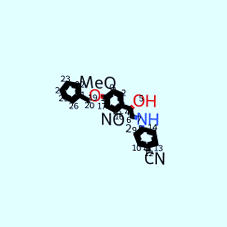 COc1cc(C(O)CNc2ccc(C#N)cc2)c([N+](=O)[O-])cc1OCc1ccccc1